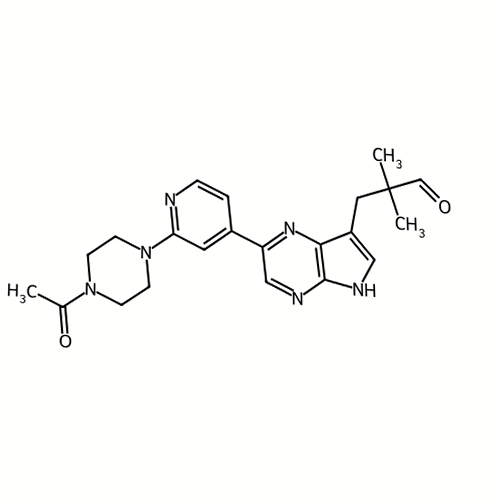 CC(=O)N1CCN(c2cc(-c3cnc4[nH]cc(CC(C)(C)C=O)c4n3)ccn2)CC1